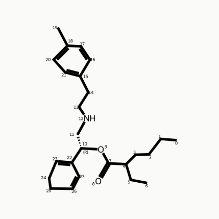 CCCCC(CC)C(=O)O[C@@H](CNCCc1ccc(C)cc1)C1=CCCC=C1